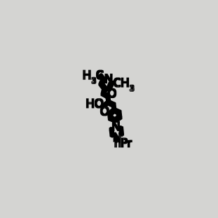 CCCN1CCN(c2ccc3c(c2)OC(O)C(c2cc4cc(C)nc(C)c4o2)=C3)CC1